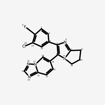 Fc1ccc(-c2nc3n(c2-c2ccc4ncnn4c2)CCC3)cc1Cl